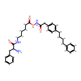 NC(Cc1ccccc1)C(=O)NCCCCCC(=O)ONC(=O)Cc1ccc(CCCCc2ccccc2)cc1